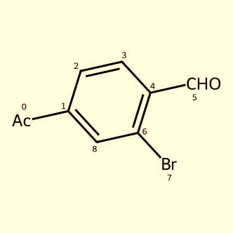 CC(=O)c1ccc(C=O)c(Br)c1